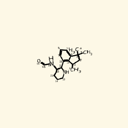 CC1CC(C)(C)c2cccc(C3NCCCC3NC=O)c21